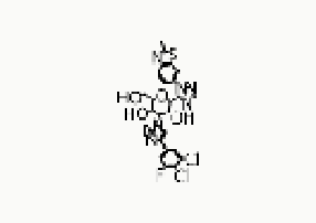 Cc1nc2ccc(-n3ncnc3[C@@H]3O[C@H](CO)[C@H](O)[C@H](n4cc(-c5cc(F)c(Cl)c(Cl)c5)nn4)[C@H]3O)cc2s1